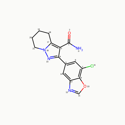 NC(=O)c1c(-c2cc(Cl)c3ocnc3c2)nn2c1CCCC2